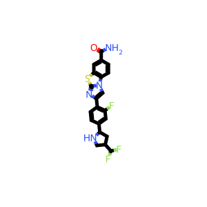 NC(=O)c1ccc2c(c1)sc1nc(-c3ccc(C4CC(C(F)F)CN4)cc3F)cn12